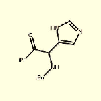 CC(C)C(=O)C(NC(C)(C)C)c1cnc[nH]1